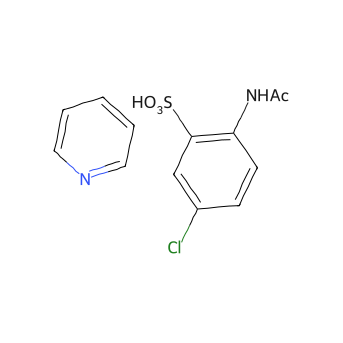 CC(=O)Nc1ccc(Cl)cc1S(=O)(=O)O.c1ccncc1